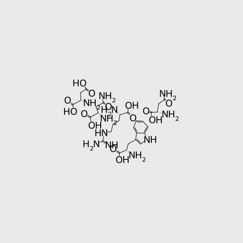 N=C(N)NCCC[C@H](N)C(=O)O.NC(=O)C[C@H](N)C(=O)O.NC(=O)C[C@H](N)C(=O)O.N[C@@H](CC(=O)O)C(=O)O.N[C@@H](Cc1c[nH]c2ccccc12)C(=O)O